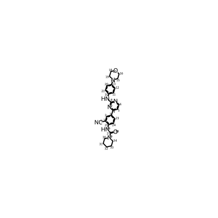 N#Cc1cc(-c2ccnc(Nc3ccc(N4CCOCC4)cc3)n2)ccc1NC(=O)N1CCCCC1